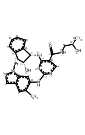 Cc1cc2cnn(C(C)C)c2cc1Nc1ncc(C(=O)NC[C@@H](C)O)c(N[C@H]2c3ccccc3C[C@H]2O)n1